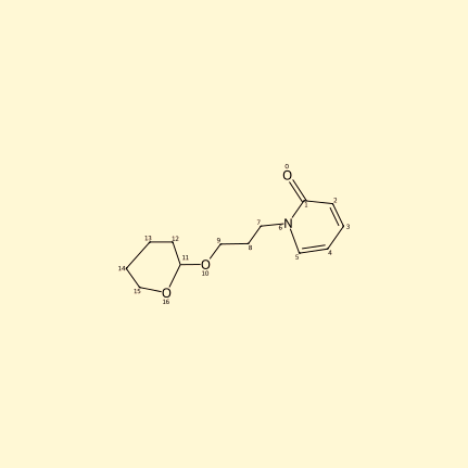 O=c1ccccn1CCCOC1CCCCO1